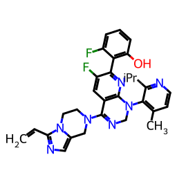 C=Cc1ncc2n1CCN(C1=NCN(c3c(C)ccnc3C(C)C)c3nc(-c4c(O)cccc4F)c(F)cc31)C2